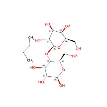 CCCC.OC[C@H]1O[C@@H](O[C@H]2[C@H](O)[C@@H](O)[C@H](O)O[C@@H]2CO)[C@H](O)[C@@H](O)[C@H]1O